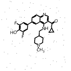 CN1CCC(CNc2c(C(=O)C3CC3)cnc3ccc(-c4cc(F)c(O)c(F)c4)cc23)CC1